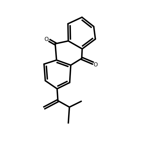 C=C(c1ccc2c(c1)C(=O)c1ccccc1C2=O)C(C)C